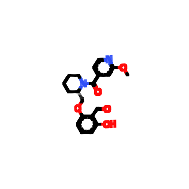 COc1cc(C(=O)N2CCCC[C@H]2COc2cccc(O)c2C=O)ccn1